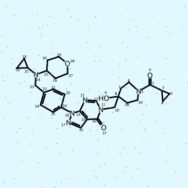 O=C(C1CC1)N1CCC(O)(Cn2cnc3c(cnn3-c3ccc(CN(C4CCOCC4)C4CC4)cc3)c2=O)CC1